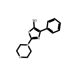 O=Nc1sc(N2CCOCC2)nc1-c1ccccc1